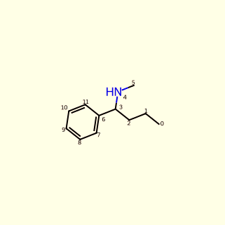 CCCC(NC)c1ccccc1